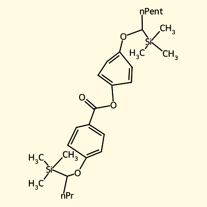 CCCCCC(Oc1ccc(OC(=O)c2ccc(OC(CCC)[Si](C)(C)C)cc2)cc1)[Si](C)(C)C